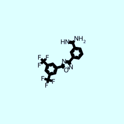 N=C(N)c1cccc(-c2noc(-c3cc(C(F)(F)F)cc(C(F)(F)F)c3)n2)c1